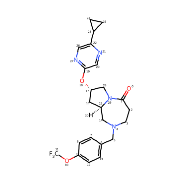 O=C1CCN(Cc2ccc(OC(F)(F)F)cc2)C[C@H]2C[C@H](Oc3cnc(C4CC4)cn3)CN12